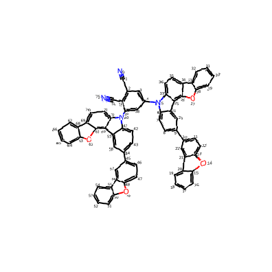 N#Cc1cc(-n2c3ccc(-c4ccc5oc6ccccc6c5c4)cc3c3c4oc5ccccc5c4ccc32)cc(-n2c3ccc(-c4ccc5oc6ccccc6c5c4)cc3c3c4oc5ccccc5c4ccc32)c1C#N